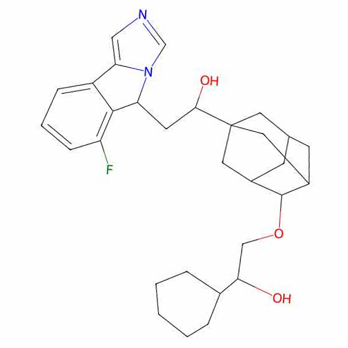 OC(COC1C2CC3CC1CC(C(O)CC1c4c(F)cccc4-c4cncn41)(C3)C2)C1CCCCC1